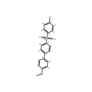 COc1ccc(-c2ccc(S(=O)(=O)c3ccc(C)cc3)cc2)cc1